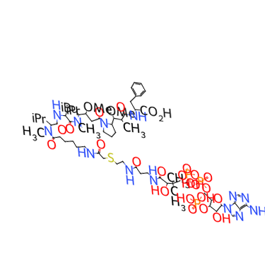 CCC(C)C(C(CC(=O)N1CCCC1C(OC)C(C)C(=O)NC(Cc1ccccc1)C(=O)O)OC)N(C)C(=O)C(NC(=O)C(C(C)C)N(C)C(=O)CCCCCNC(=O)CSCCNC(=O)CCNC(=O)C(O)C(C)(C)COP(=O)(O)OP(=O)(O)OCC1OC(n2cnc3c(N)ncnc32)C(O)C1OP(=O)(O)O)C(C)C